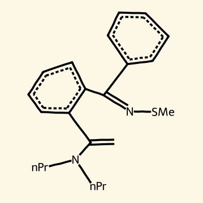 C=C(c1ccccc1C(=NSC)c1ccccc1)N(CCC)CCC